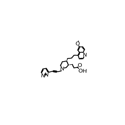 COc1ccc2nccc(CCC[C@@H]3CCN(CC#Cc4cccnn4)C[C@@H]3CCC(=O)O)c2c1